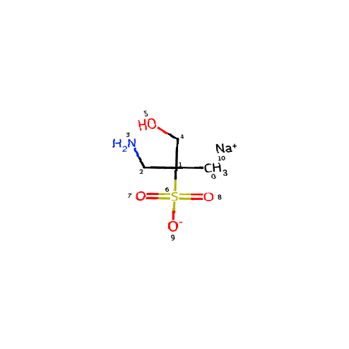 CC(CN)(CO)S(=O)(=O)[O-].[Na+]